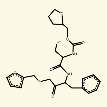 CC(C)CC(NC(=O)OCC1CCCO1)C(=O)NC(Cc1ccccc1)C(=O)CSCc1ccco1